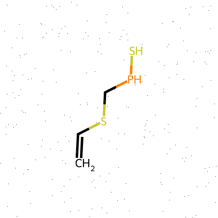 C=CSCPS